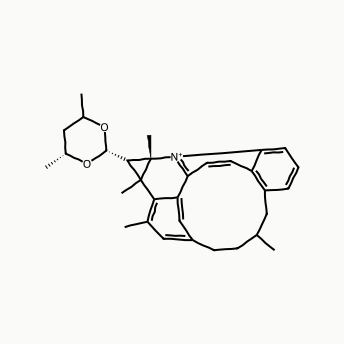 Cc1cc2cc3c1C1(C)C([C@H]4OC(C)C[C@@H](C)O4)[C@]1(C)[n+]1c-3ccc3c(cccc31)CC(C)CC2